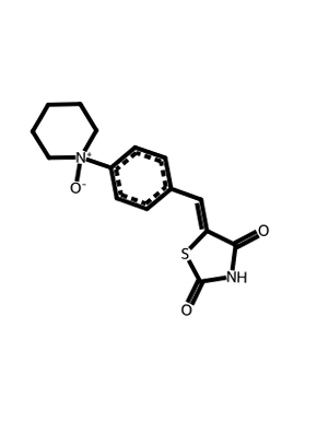 O=C1NC(=O)C(=Cc2ccc([N+]3([O-])CCCCC3)cc2)S1